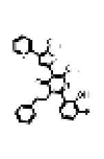 Cc1nc(-c2cccc(F)c2O)n(CCc2ccccc2)c(=O)c1-c1cc(-c2ccccn2)c(C)s1